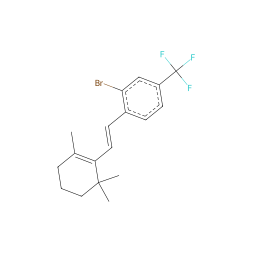 CC1=C(/C=C/c2ccc(C(F)(F)F)cc2Br)C(C)(C)CCC1